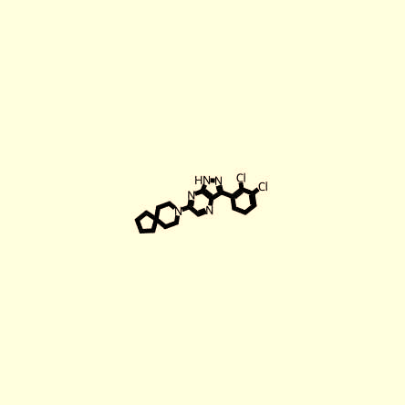 ClC1=CCCC(c2n[nH]c3nc(N4CCC5(CCCC5)CC4)cnc23)=C1Cl